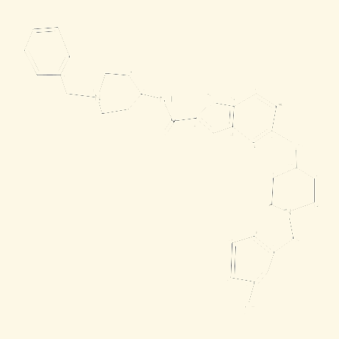 O=C(NC1CCN(Cc2ccccc2)CC1)c1cc2cc(OC3CCN(Cc4cccc(C(F)(F)F)c4)CC3)ccc2o1